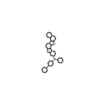 c1ccc(-c2ccc(N(c3ccccc3)c3ccc4c(c3)sc3ccc5c(oc6ccc7ccccc7c65)c34)cc2)cc1